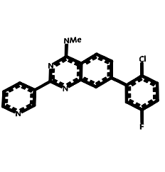 CNc1nc(-c2cccnc2)nc2cc(-c3cc(F)ccc3Cl)ccc12